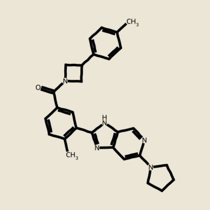 Cc1ccc(C2CN(C(=O)c3ccc(C)c(-c4nc5cc(N6CCCC6)ncc5[nH]4)c3)C2)cc1